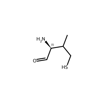 CC(CS)[C@H](N)C=O